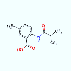 Bc1ccc(NC(=O)C(C)C)c(C(=O)O)c1